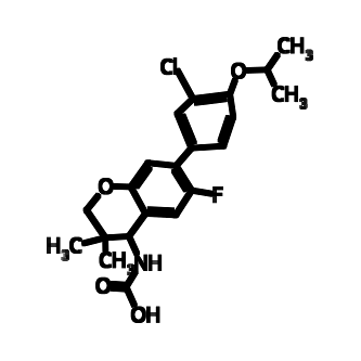 CC(C)Oc1ccc(-c2cc3c(cc2F)C(NC(=O)O)C(C)(C)CO3)cc1Cl